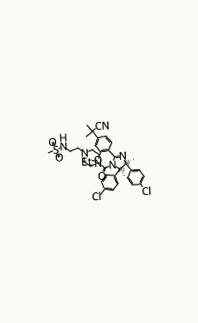 CCOc1cc(C(C)(C)C#N)ccc1C1=N[C@@](C)(c2ccc(Cl)cc2)[C@@](C)(c2ccc(Cl)cc2)N1C(=O)N1CCN(CCNS(C)(=O)=O)CC1